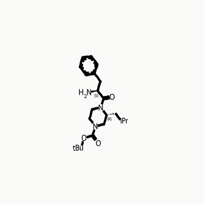 CC(C)C[C@@H]1CN(C(=O)OC(C)(C)C)CCN1C(=O)[C@@H](N)Cc1ccccc1